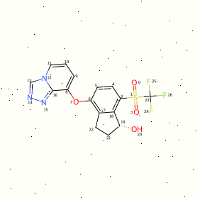 O=S(=O)(c1ccc(Oc2cccn3cnnc23)c2c1[C@H](O)CC2)C(F)(F)F